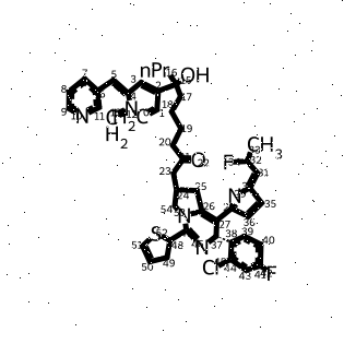 C=C/C(=C\C(=C\c1cccnc1)N=C)C(O)(CCC)CCCCC(=O)CC1CC2=C(C3=N/C(=C\C(C)F)C=C3)[C@H](c3ccc(F)cc3Cl)N=C(C3CC=CS3)N2C1